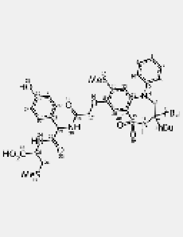 CCCCC1(CCCC)CN(c2ccccc2)c2cc(SC)c(OCC(=O)NC(C(=O)NC(CSC)C(=O)O)c3ccc(O)cc3)cc2S(=O)(=O)N1